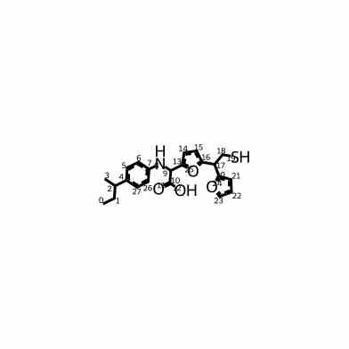 CCC(C)c1ccc(NC(C(=O)O)c2ccc(C(CS)c3ccco3)o2)cc1